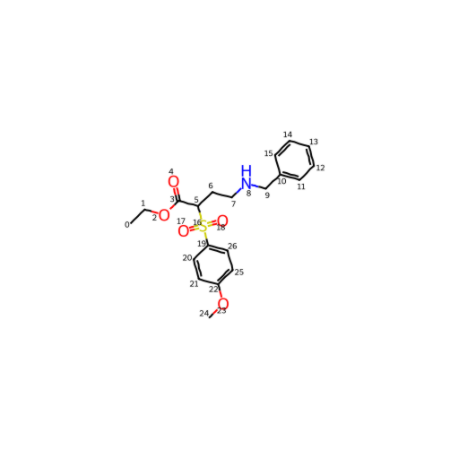 CCOC(=O)C(CCNCc1ccccc1)S(=O)(=O)c1ccc(OC)cc1